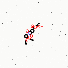 C#CCOc1cccc(N2C(=O)c3ccc(C(=O)OCC(O)CC)cc3C2=O)c1OCC#C